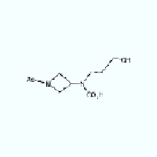 CC(=O)N1CC(N(CCCO)C(=O)O)C1